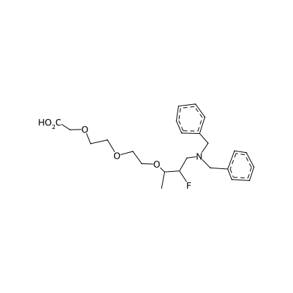 CC(OCCOCCOCC(=O)O)C(F)CN(Cc1ccccc1)Cc1ccccc1